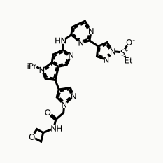 CC[S+]([O-])n1cc(-c2nccc(Nc3cc4c(cn3)c(-c3cnn(CC(=O)NC5COC5)c3)cn4C(C)C)n2)cn1